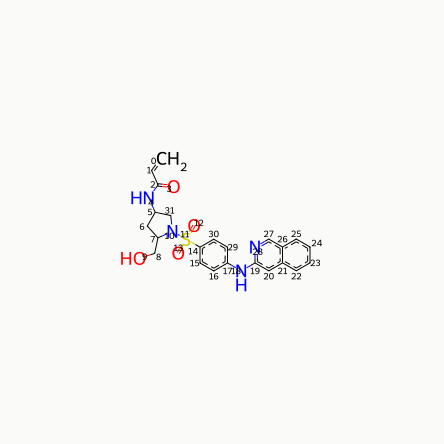 C=CC(=O)NC1CC(CO)N(S(=O)(=O)c2ccc(Nc3cc4ccccc4cn3)cc2)C1